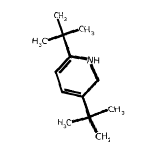 CC(C)(C)C1=CC=C(C(C)(C)C)NC1